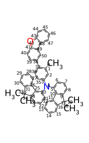 Cc1cc(N(c2cccc3c2-c2ccccc2C3(C)C)c2cccc3c2-c2ccccc2C3(C)C)ccc1-c1ccc2oc3ccccc3c2c1